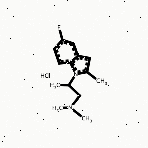 Cc1cc2cc(F)ccc2n1C(C)CN(C)C.Cl